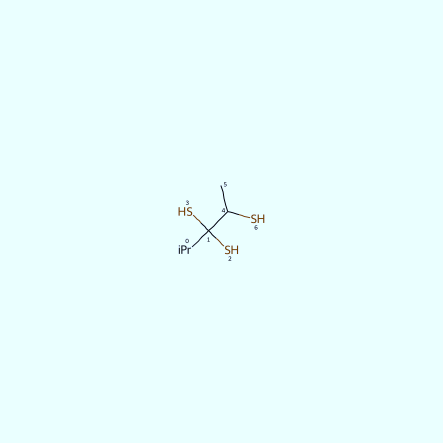 CC(C)C(S)(S)C(C)S